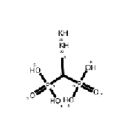 CC(P(=O)(O)O)P(=O)(O)O.[KH].[KH]